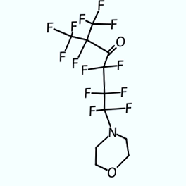 O=C(C(F)(F)C(F)(F)C(F)(F)N1CCOCC1)C(F)(C(F)(F)F)C(F)(F)F